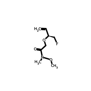 C=C[C@@H](CF)OCC(=O)N(C)OC